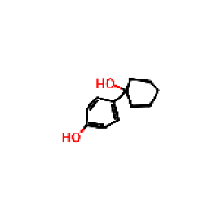 Oc1ccc(C2(O)CCCCC2)cc1